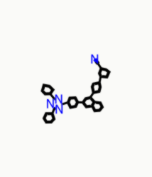 N#Cc1cccc(-c2ccc(-c3cc(-c4ccc(-c5nc(-c6ccccc6)nc(-c6ccccc6)n5)cc4)cc4ccccc34)cc2)c1